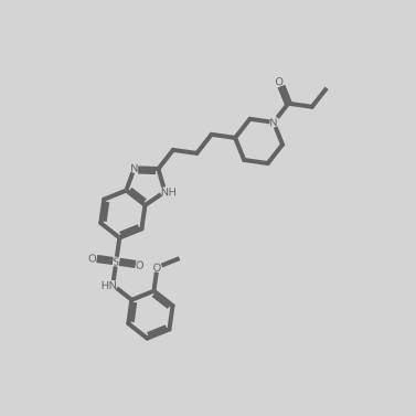 CCC(=O)N1CCCC(CCCc2nc3ccc(S(=O)(=O)Nc4ccccc4OC)cc3[nH]2)C1